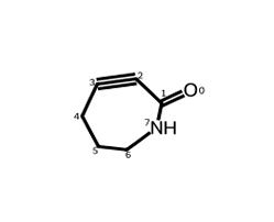 O=C1C#CCCCN1